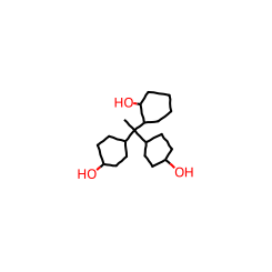 CC(C1CCC(O)CC1)(C1CCC(O)CC1)C1CCCCC1O